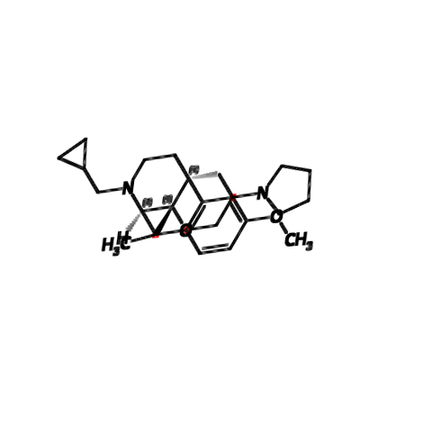 CC[C@]12OCC(N3CCCC3)C[C@@]13CCN(CC1CC1)[C@@H]2Cc1ccc(OC)cc13